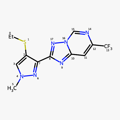 CCSc1cn(C)nc1-c1nc2cc(C(F)(F)F)ncn2n1